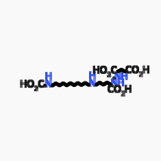 O=C(O)CCC(NCNC(CCCCNCCCCCCCCCCCNCC(=O)O)C(=O)O)C(=O)O